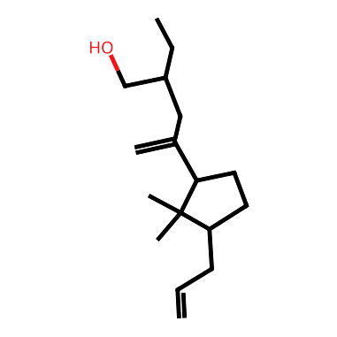 C=CCC1CCC(C(=C)CC(CC)CO)C1(C)C